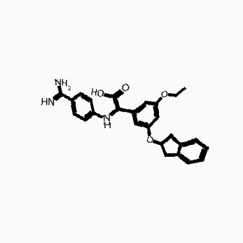 CCOc1cc(OC2Cc3ccccc3C2)cc(C(Nc2ccc(C(=N)N)cc2)C(=O)O)c1